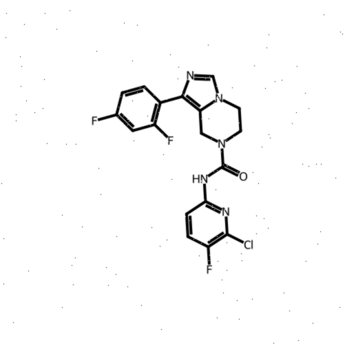 O=C(Nc1ccc(F)c(Cl)n1)N1CCn2cnc(-c3ccc(F)cc3F)c2C1